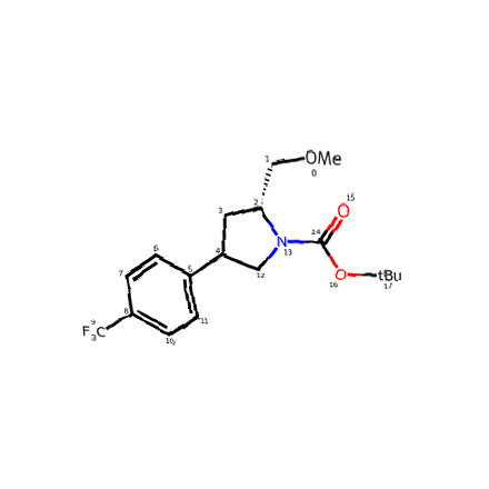 COC[C@H]1CC(c2ccc(C(F)(F)F)cc2)CN1C(=O)OC(C)(C)C